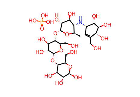 C[C@H]1O[C@H](O[C@H]2[C@H](O)[C@@H](O)[C@@H](O[C@H]3[C@H](O)[C@@H](O)[C@H](O)O[C@@H]3CO)O[C@@H]2CO)[C@H](O)[C@@H](O)[C@@H]1N[C@H]1C=C(CO)[C@@H](O)[C@H](O)[C@H]1O.O=P(O)(O)O